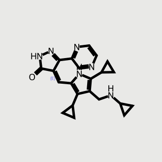 O=C1NN=C(c2cnccn2)/C1=C\c1[nH]c(C2CC2)c(CNC2CC2)c1C1CC1